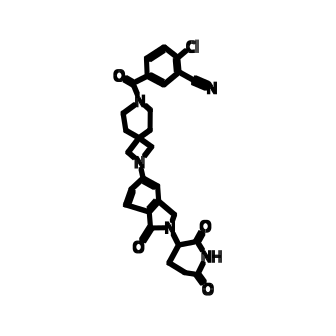 N#Cc1cc(C(=O)N2CCC3(CC2)CN(c2ccc4c(c2)CN(C2CCC(=O)NC2=O)C4=O)C3)ccc1Cl